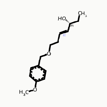 CC[C@@H](O)/C=C/CCOCc1ccc(OC)cc1